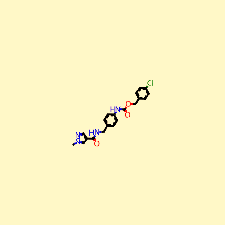 Cn1cc(C(=O)NCc2ccc(NC(=O)OCc3ccc(Cl)cc3)cc2)cn1